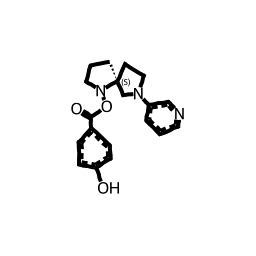 O=C(ON1CCC[C@@]12CCN(c1cccnc1)C2)c1ccc(O)cc1